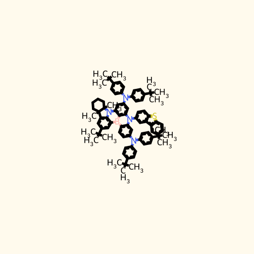 CC(C)(C)c1ccc(N(c2ccc(C(C)(C)C)cc2)c2ccc3c(c2)N(c2ccc4sc5ccccc5c4c2)c2cc(N(c4ccc(C(C)(C)C)cc4)c4ccc(C(C)(C)C)cc4)cc4c2B3c2cc(C(C)(C)C)cc3c2N4C2(C)CCCCC32C)cc1